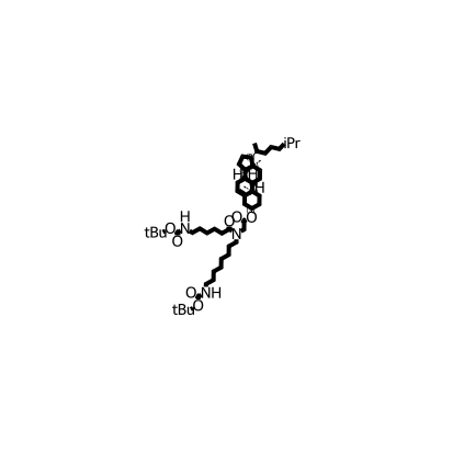 CC(C)CCCC(C)[C@H]1CC[C@H]2[C@@H]3CC=C4C[C@@H](OC(=O)CN(CCCCCCCCNC(=O)OC(C)(C)C)C(=O)CCCCCNC(=O)OC(C)(C)C)CC[C@]4(C)[C@H]3CC[C@]12C